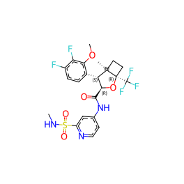 CNS(=O)(=O)c1cc(NC(=O)[C@@H]2O[C@]3(C(F)(F)F)CC[C@]3(C)[C@H]2c2ccc(F)c(F)c2OC)ccn1